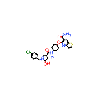 NC(=O)c1cc2sccc2nc1OC1CCC(NC(=O)C2CC(O)N(Cc3ccc(Cl)cc3)C2)CC1